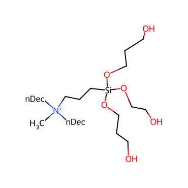 CCCCCCCCCC[N+](C)(CCCCCCCCCC)CCC[Si](OCCO)(OCCCO)OCCCO